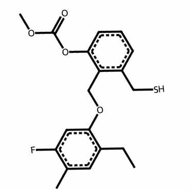 CCc1cc(C)c(F)cc1OCc1c(CS)cccc1OC(=O)OC